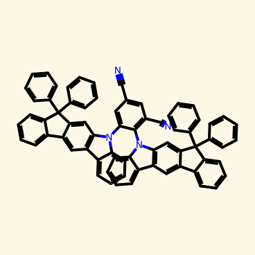 N#Cc1cc(C#N)c(-n2c3ccccc3c3cc4c(cc32)C(c2ccccc2)(c2ccccc2)c2ccccc2-4)c(-n2c3ccccc3c3cc4c(cc32)C(c2ccccc2)(c2ccccc2)c2ccccc2-4)c1